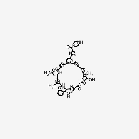 Cc1sc2nc1C(=O)N[C@@H]([C@H](O)c1ccccc1)c1nc(cs1)C(=O)NC(=O)N1C[C@H](O)[C@H](C)[C@H]1c1nc(cs1)-c1nc(cs1)-c1nc(-c3nc(C(=O)N4CCNCC4)cs3)ccc1-c1nc(cs1)C(=O)N[C@H]2CC(N)=O